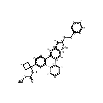 CC(C)(C)OC(=O)NC1(c2ccc(-c3nc4nc(NCc5ccncc5)nn4cc3-c3ccccc3)cc2)CCC1